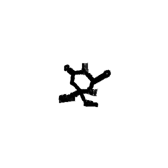 CSC1(SC)CC(=O)NC(=O)N1